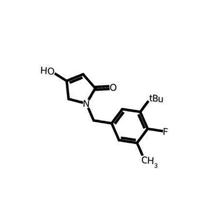 Cc1cc(CN2CC(O)=CC2=O)cc(C(C)(C)C)c1F